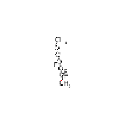 CCCc1ccc(-c2ccc(-c3ccc(C4CCC(C5CCC(CCC)CC5)CC4)cc3F)cc2)c(F)c1F